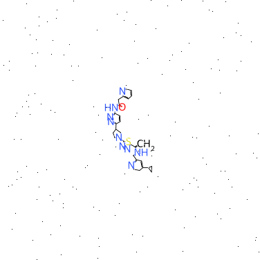 C=C(NCC1=NCCC(C2CC2)=C1)c1nnc(N2CCC(c3ccc(NC(=O)Cc4ccccn4)nn3)C2)s1